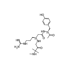 CNC(C)(C)C(=O)CN[C@@H](CCCNC(=N)N)CC(=O)N[C@@H](Cc1ccc(O)cc1)C(C)=O